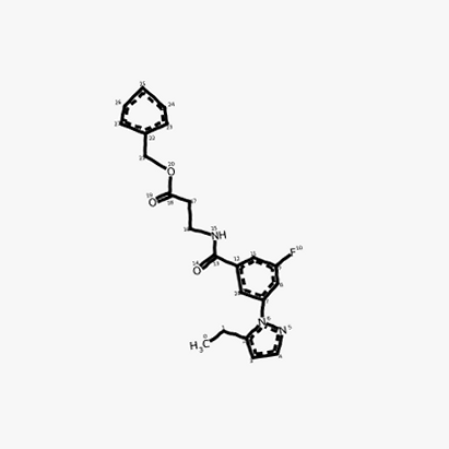 CCc1ccnn1-c1cc(F)cc(C(=O)NCCC(=O)OCc2ccccc2)c1